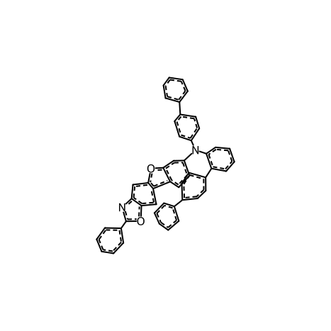 c1ccc(-c2ccc(-c3ccccc3N(c3ccc(-c4ccccc4)cc3)c3ccc4c(c3)oc3cc5nc(-c6ccccc6)oc5cc34)cc2)cc1